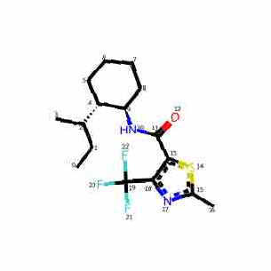 CCC(C)[C@@H]1CCCC[C@H]1NC(=O)c1sc(C)nc1C(F)(F)F